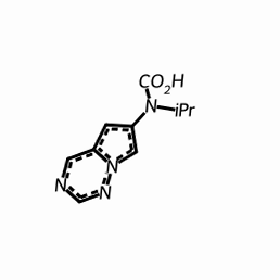 CC(C)N(C(=O)O)c1cc2cncnn2c1